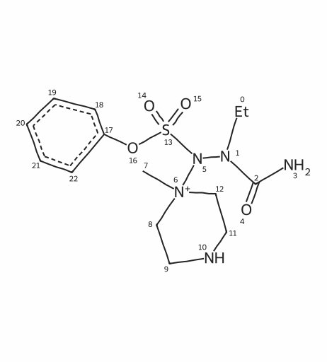 CCN(C(N)=O)N([N+]1(C)CCNCC1)S(=O)(=O)Oc1ccccc1